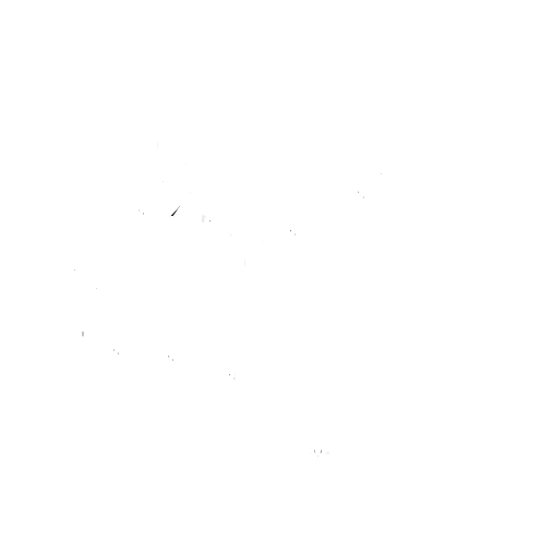 COc1ccc2c(O[C@@H]3C[C@H]4C(=O)N[C@]5(C(=O)NS(=O)(=O)C6CC6)C[C@H]5/C=C\CCCCC[C@H](NC(=O)OC5CCCC5)C(=O)N4C3)cc(-c3csc(NC(C)C)n3)nc2c1